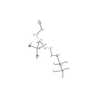 CC(C)(C)[Si](C)(C)OCC[C@H]1[C@@H](CCCl)C1(Br)Br